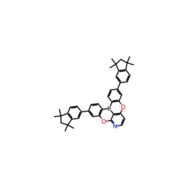 CC1(C)CC(C)(C)c2cc(-c3ccc4c(c3)Oc3ccnc5c3B4c3ccc(-c4ccc6c(c4)C(C)(C)CC6(C)C)cc3O5)ccc21